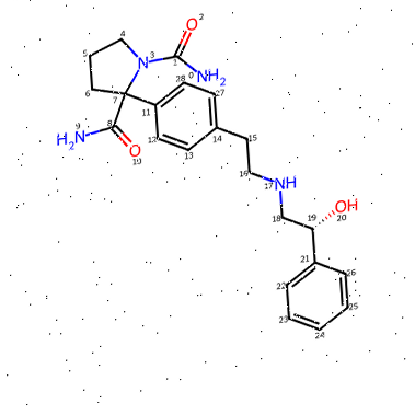 NC(=O)N1CCCC1(C(N)=O)c1ccc(CCNC[C@H](O)c2ccccc2)cc1